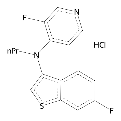 CCCN(c1ccncc1F)c1csc2cc(F)ccc12.Cl